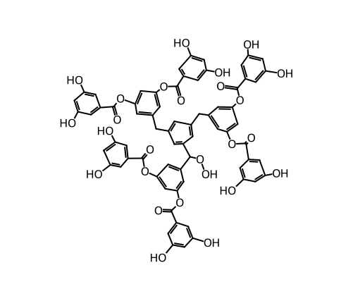 O=C(Oc1cc(Cc2cc(Cc3cc(OC(=O)c4cc(O)cc(O)c4)cc(OC(=O)c4cc(O)cc(O)c4)c3)cc(C(OO)c3cc(OC(=O)c4cc(O)cc(O)c4)cc(OC(=O)c4cc(O)cc(O)c4)c3)c2)cc(OC(=O)c2cc(O)cc(O)c2)c1)c1cc(O)cc(O)c1